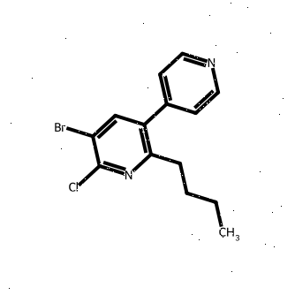 CCCCc1nc(Cl)c(Br)cc1-c1ccncc1